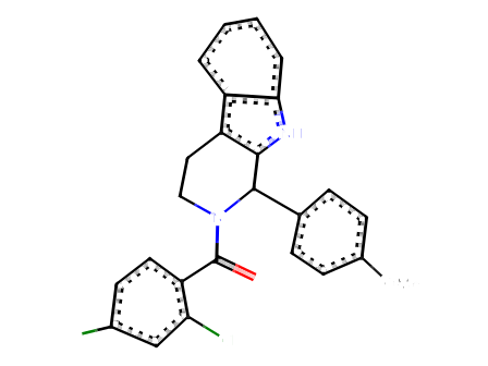 COc1ccc(C2c3[nH]c4ccccc4c3CCN2C(=O)c2ccc(Cl)cc2Cl)cc1